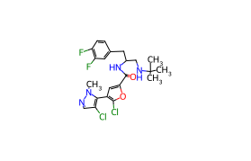 Cn1ncc(Cl)c1-c1cc(C(=O)NC(CNC(C)(C)C)Cc2ccc(F)c(F)c2)oc1Cl